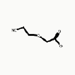 N#CCCOCC([O])=O